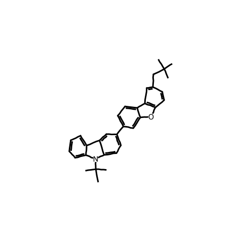 CC(C)(C)Cc1ccc2oc3cc(-c4ccc5c(c4)c4ccccc4n5C(C)(C)C)ccc3c2c1